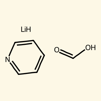 O=CO.[LiH].c1ccncc1